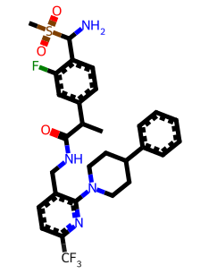 CC(C(=O)NCc1ccc(C(F)(F)F)nc1N1CCC(c2ccccc2)CC1)c1ccc(C(N)S(C)(=O)=O)c(F)c1